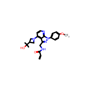 C=CC(=O)NCc1nn(-c2ccc(OC(F)(F)F)cc2)c2nccc(N3CC(C(C)(C)O)C3)c12